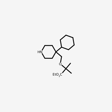 CCOC(=O)C(C)(C)OCC1(C2CCCCC2)CCNCC1